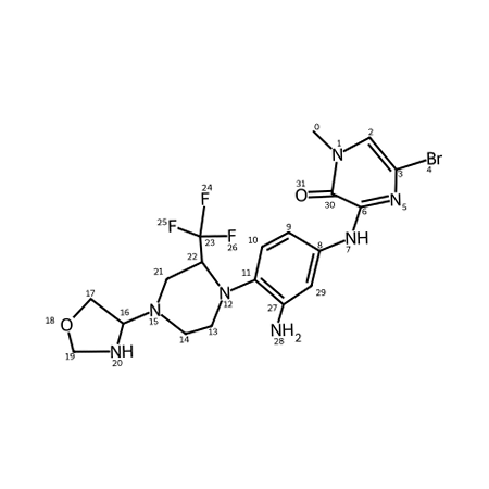 Cn1cc(Br)nc(Nc2ccc(N3CCN(C4COCN4)CC3C(F)(F)F)c(N)c2)c1=O